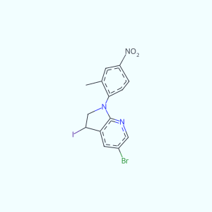 Cc1cc([N+](=O)[O-])ccc1N1CC(I)c2cc(Br)cnc21